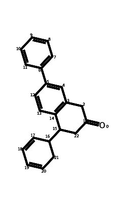 O=C1Cc2cc(-c3ccccc3)ccc2C(C2C=CC=CC2)C1